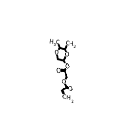 C=CC(=O)OCC(=O)OC1COC(C)C(C)O1